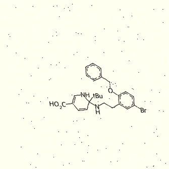 CC(C)(C)C1(NCCc2cc(Br)ccc2OCc2ccccc2)C=CC(C(=O)O)=CN1